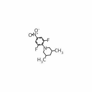 CC1CC(C)CN(c2c(F)cc([N+](=O)[O-])cc2F)C1